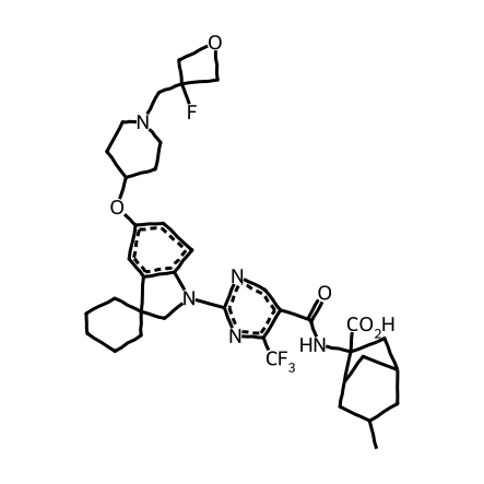 CC1CC2CC(C1)C(NC(=O)c1cnc(N3CC4(CCCCC4)c4cc(OC5CCN(CC6(F)COC6)CC5)ccc43)nc1C(F)(F)F)(C(=O)O)C2